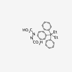 CCP(CC)(c1ccccc1)(c1ccccc1)c1ccccc1.O=C(O)N=NC(=O)O